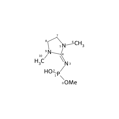 COP(O)N=C1N(C)CCN1C